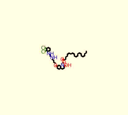 CCC/C=C\C/C=C\C/C=C\C/C=C\C/C=C\CCCC(=O)OCN1c2cc(OCCCCNCCNc3cccc(Cl)c3Cl)ccc2C=CC1O